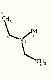 CC[N]([Pd])CC